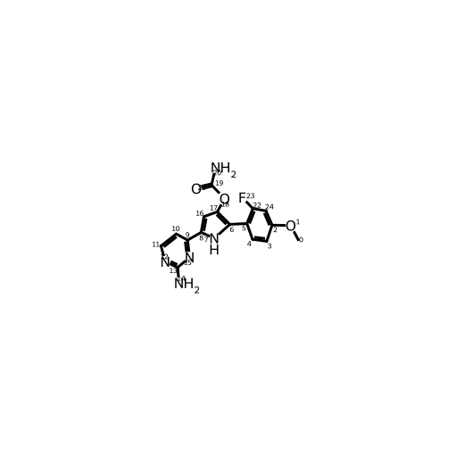 COc1ccc(-c2[nH]c(-c3ccnc(N)n3)cc2OC(N)=O)c(F)c1